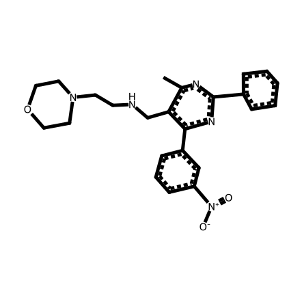 Cc1nc(-c2ccccc2)nc(-c2cccc([N+](=O)[O-])c2)c1CNCCN1CCOCC1